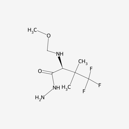 COCN[C@H](C(=O)NN)C(C)(C)C(F)(F)F